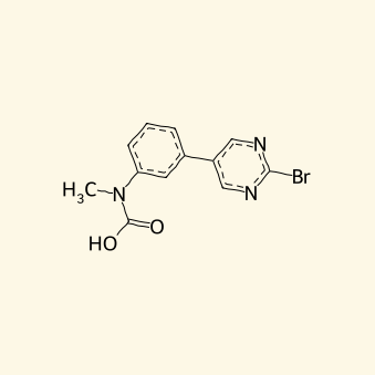 CN(C(=O)O)c1cccc(-c2cnc(Br)nc2)c1